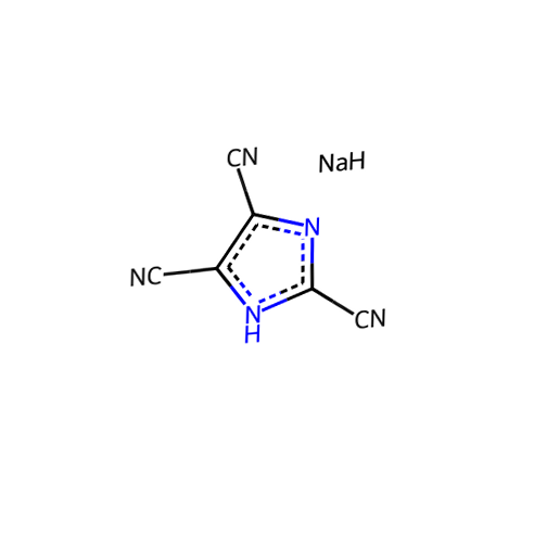 N#Cc1nc(C#N)c(C#N)[nH]1.[NaH]